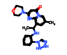 Cc1cc(C(C)Nc2ccccc2N2C=NNN2)c2nc(N3CCOCC3)cc(=O)n2c1